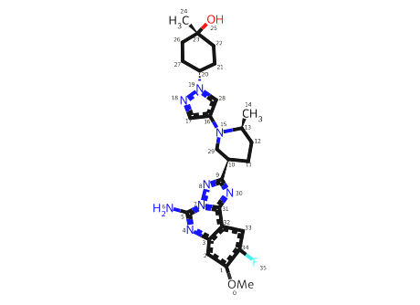 COc1cc2nc(N)n3nc([C@@H]4CC[C@H](C)N(c5cnn([C@H]6CC[C@@](C)(O)CC6)c5)C4)nc3c2cc1F